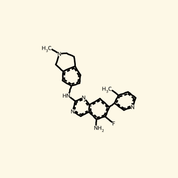 Cc1ccncc1-c1cc2nc(Nc3ccc4c(c3)CN(C)CC4)ncc2c(N)c1F